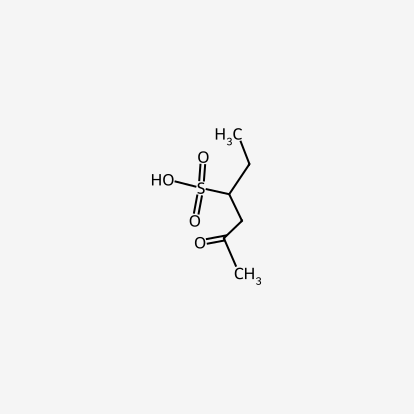 CCC(CC(C)=O)S(=O)(=O)O